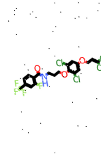 O=C(NCCCOc1c(Cl)cc(OCC=C(Cl)Cl)cc1Cl)c1ccc(C(F)(F)F)cc1F